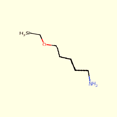 NCCCCCOC[SiH3]